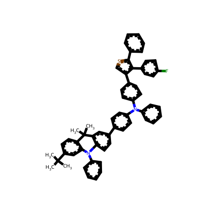 CC(C)(C)c1ccc2c(c1)N(c1ccccc1)c1ccc(-c3ccc(N(c4ccccc4)c4ccc(-c5csc(-c6ccccc6)c5-c5ccc(F)cc5)cc4)cc3)cc1C2(C)C